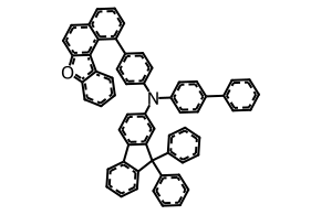 c1ccc(-c2ccc(N(c3ccc(-c4cccc5ccc6oc7ccccc7c6c45)cc3)c3ccc4c(c3)C(c3ccccc3)(c3ccccc3)c3ccccc3-4)cc2)cc1